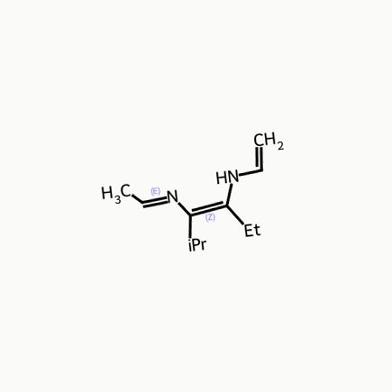 C=CN/C(CC)=C(\N=C\C)C(C)C